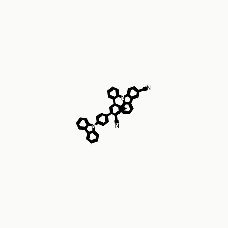 N#CC1=C2CC2C(c2ccccc2-n2c3ccccc3c3cc(C#N)ccc32)C=C1c1ccc(-n2c3ccccc3c3ccccc32)cc1